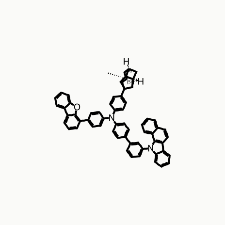 C[C@H]1C[C@H]2C[C@H]3CC(c4ccc(N(c5ccc(-c6cccc(-n7c8ccccc8c8ccc9ccccc9c87)c6)cc5)c5ccc(-c6cccc7c6oc6ccccc67)cc5)cc4)(CC23)C1